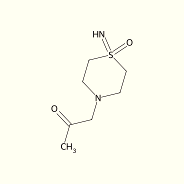 CC(=O)CN1CCS(=N)(=O)CC1